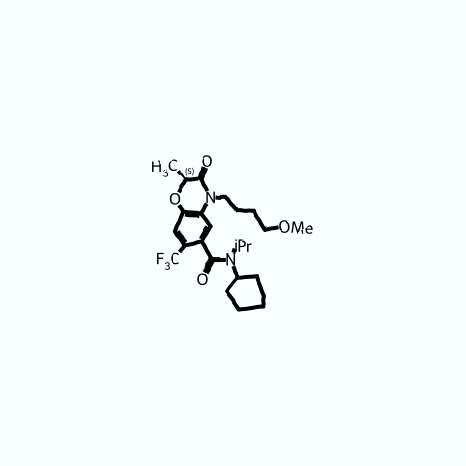 COCCCCN1C(=O)[C@H](C)Oc2cc(C(F)(F)F)c(C(=O)N(C(C)C)C3CCCCC3)cc21